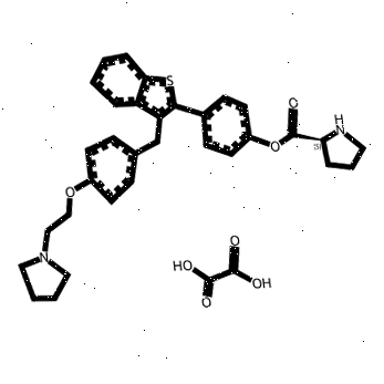 O=C(O)C(=O)O.O=C(Oc1ccc(-c2sc3ccccc3c2Cc2ccc(OCCN3CCCC3)cc2)cc1)[C@@H]1CCCN1